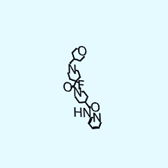 O=C(Nc1ccccn1)C1CCN(C(=O)C2(F)CCN(CC3CCOCC3)CC2)CC1